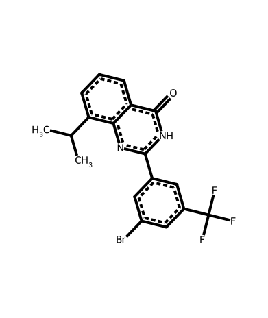 CC(C)c1cccc2c(=O)[nH]c(-c3cc(Br)cc(C(F)(F)F)c3)nc12